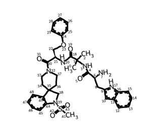 CC(C)(NC(=O)[C@@H](N)Cc1cc2ccccc2[nH]1)C(=O)N[C@H](COc1ccccc1)C(=O)N1CCC2(CC1)CN(S(C)(=O)=O)c1ccccc12